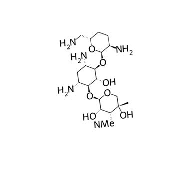 CN[C@@H]1[C@H](O)[C@@H](O[C@@H]2[C@@H](O)[C@H](O[C@H]3O[C@H](CN)CC[C@H]3N)[C@@H](N)C[C@H]2N)OC[C@]1(C)O